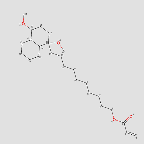 C=CC(=O)OCCCCCCCCCCC1(OC)CCC(OC)C2CCCCC21